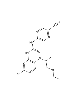 CCOCC(C)Oc1ccc(Cl)cc1NC(=O)Nc1cnc(C#N)cn1